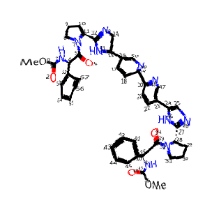 COC(=O)N[C@@H](C(=O)N1CCC[C@H]1C1=NCC(c2ccc(-c3ccc(-c4cnc([C@@H]5CCCN5C(=O)[C@H](NC(=O)OC)c5ccccc5)[nH]4)cn3)nc2)N1)c1ccccc1